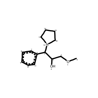 COCC(O)C(c1ccccc1)N1CCCC1